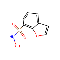 O=S(=O)(NO)c1cccc2ccoc12